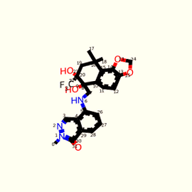 Cn1ncc2c(NCC3(O)c4ccc5c(c4C(C)(C)CC3(O)C(F)(F)F)OCO5)cccc2c1=O